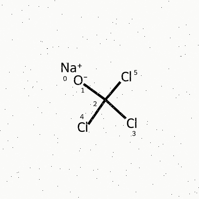 [Na+].[O-]C(Cl)(Cl)Cl